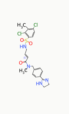 Cc1c(Cl)ccc(S(=O)(=O)NC/C=C/C(=O)N(C)Cc2ccc(C3=NCCN3)cc2)c1Cl